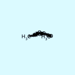 CCCCCc1ccc2c(c1)Cc1cc(C(=O)Oc3ccc(OCCCCOCC4(C)COC4)cc3)ccc1-2